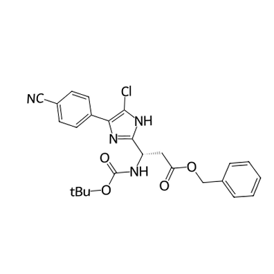 CC(C)(C)OC(=O)N[C@@H](CC(=O)OCc1ccccc1)c1nc(-c2ccc(C#N)cc2)c(Cl)[nH]1